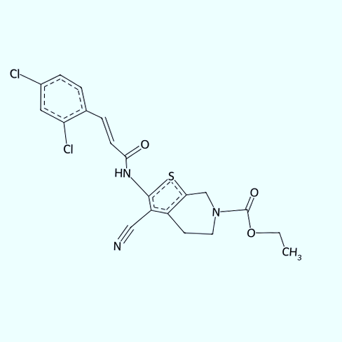 CCOC(=O)N1CCc2c(sc(NC(=O)/C=C/c3ccc(Cl)cc3Cl)c2C#N)C1